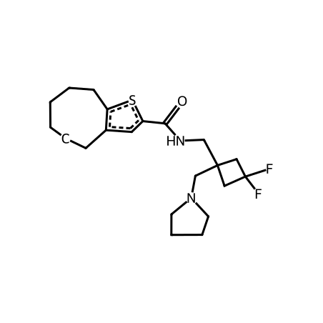 O=C(NCC1(CN2CCCC2)CC(F)(F)C1)c1cc2c(s1)CCCCCC2